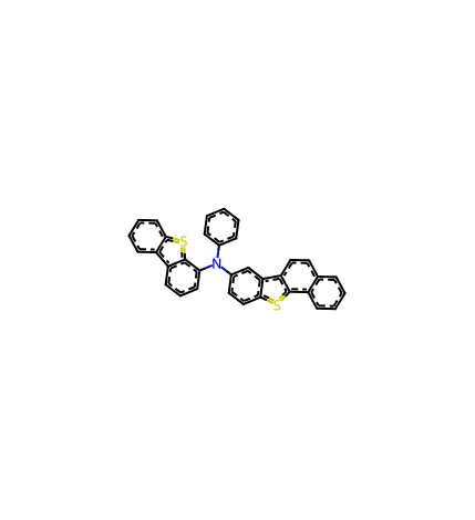 c1ccc(N(c2ccc3sc4c5ccccc5ccc4c3c2)c2cccc3c2sc2ccccc23)cc1